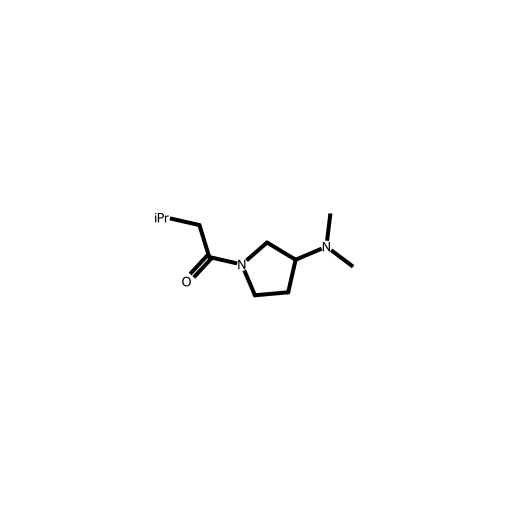 CC(C)CC(=O)N1CCC(N(C)C)C1